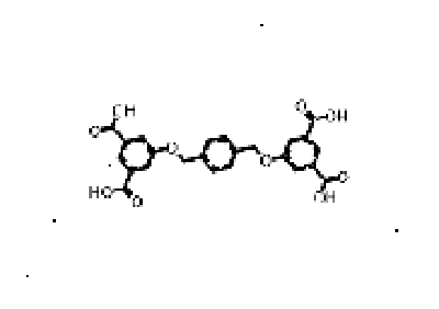 O=C(O)c1cc(OCc2ccc(COc3cc(C(=O)O)cc(C(=O)O)c3)cc2)cc(C(=O)O)c1